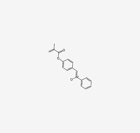 C=C(C)C(=O)Oc1ccc(C=[N+]([O-])c2ccccc2)cc1